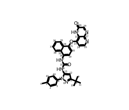 Cc1ccc(-n2nc(C(C)(C)C)cc2NC(=O)Nc2ccc(Oc3ccnc4ncc(=O)[nH]c34)c3ccccc23)cc1